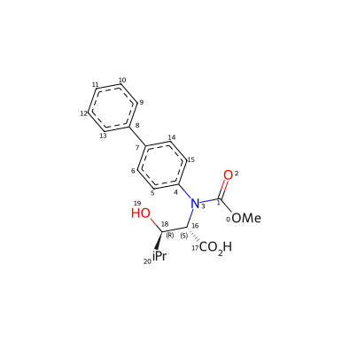 COC(=O)N(c1ccc(-c2ccccc2)cc1)[C@H](C(=O)O)[C@H](O)C(C)C